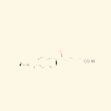 CCCC(C)Oc1ccc2cc(C(=O)CCCCC(=O)O)ccc2c1